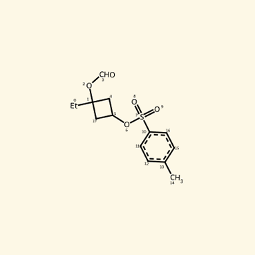 CCC1(OC=O)CC(OS(=O)(=O)c2ccc(C)cc2)C1